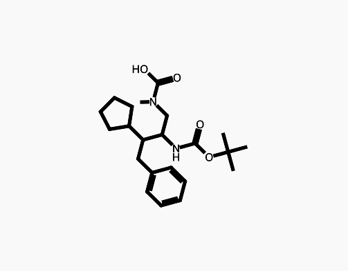 CN(CC(NC(=O)OC(C)(C)C)C(Cc1ccccc1)C1CCCC1)C(=O)O